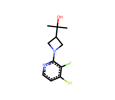 CC(C)(O)C1CN(c2nccc(S)c2F)C1